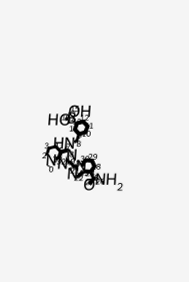 CN1CCCc2c(NCc3cccc(B(O)O)c3)nc(-c3ncc4c(C(N)=O)cccn34)nc21